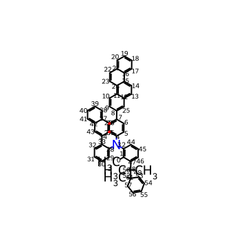 Cc1c(N(c2ccc(-c3ccc4c(ccc5c6ccccc6ccc45)c3)cc2)c2ccccc2-c2ccc3ccccc3c2)cccc1C(C)(C)C1(C)C=CC=CC1